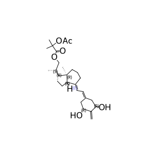 C=C1[C@H](O)CC(=C/C=C2\CCC[C@]3(C)[C@@H]([C@H](C)COC(=O)C(C)(C)OC(C)=O)CC[C@@H]23)C[C@H]1O